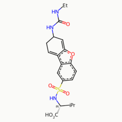 CCNC(=O)NC1C=c2oc3ccc(S(=O)(=O)N[C@@H](C(=O)O)C(C)C)cc3c2=CC1